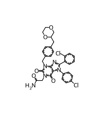 NC(=O)Cn1c(=O)c2c(nc(-c3ccccc3Cl)n2-c2ccc(Cl)cc2)n(Cc2ccc(CC3COCCO3)cc2)c1=O